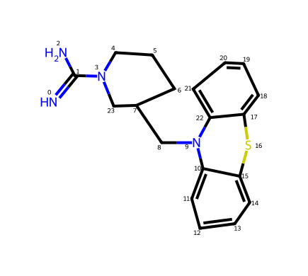 N=C(N)N1CCCC(CN2c3ccccc3Sc3ccccc32)C1